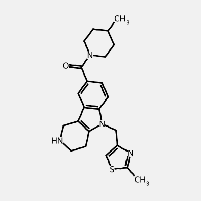 Cc1nc(Cn2c3c(c4cc(C(=O)N5CCC(C)CC5)ccc42)CNCC3)cs1